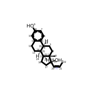 C[C@]12CC[C@@H]3c4ccc(O)cc4CC[C@@H]3[C@@H]1CC[C@@]2(O)/C=C\I